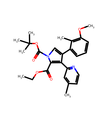 CCOC(=O)c1c(-c2cc(C)ccn2)c(-c2cccc(OC)c2C)cn1C(=O)OC(C)(C)C